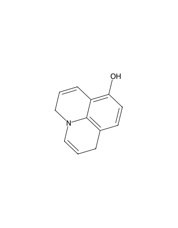 Oc1ccc2c3c1C=CCN3C=CC2